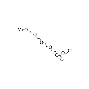 COCCOCCOCCOCCOC(=O)OCCl